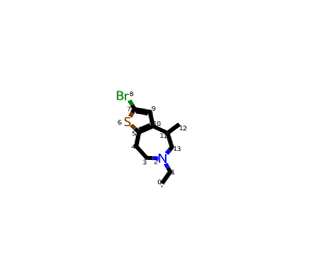 [CH2]CN1CCc2sc(Br)cc2C(C)C1